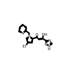 CCc1cc(C(=O)C=C(O)c2nc[nH]n2)n(Cc2ccccn2)c1